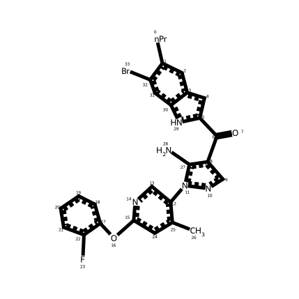 CCCc1cc2cc(C(=O)c3cnn(-c4cnc(Oc5ccccc5F)cc4C)c3N)[nH]c2cc1Br